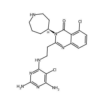 Nc1nc(N)c(Cl)c(NCCc2nc3cccc(Cl)c3c(=O)n2[C@H]2CCCNCC2)n1